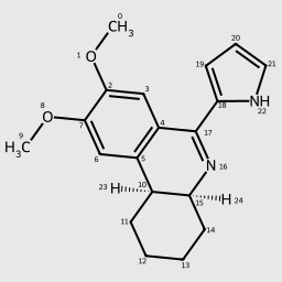 COc1cc2c(cc1OC)[C@@H]1CCCC[C@@H]1N=C2c1ccc[nH]1